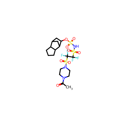 CC(=O)N1CCN(S(=O)(=O)C(F)(F)C(F)(F)S(=O)(=O)NS(=O)(=O)OC2CC3CC2C2CCCC32)CC1